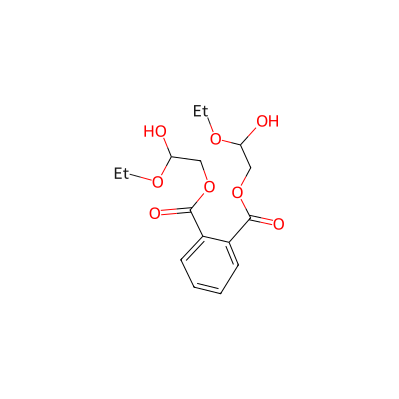 CCOC(O)COC(=O)c1ccccc1C(=O)OCC(O)OCC